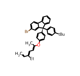 C=C/C(=C/C=C(\C)Oc1ccc([C@]2(c3ccc(C(C)(C)C)cc3)c3ccccc3-c3ccc(Br)cc32)cc1)CC